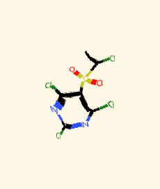 CC(Cl)S(=O)(=O)c1c(Cl)nc(Cl)nc1Cl